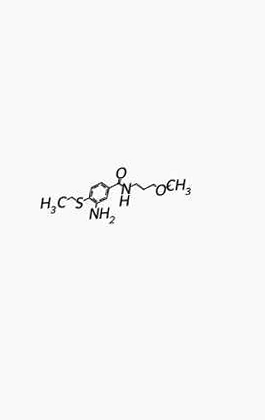 CCSc1ccc(C(=O)NCCCOC)cc1N